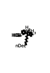 CCCCCCCCCCCCCCCCC[CH2][Ti]([CH3])([SiH2]c1ccccc1)[C]1=CC=CC1.Cl.Cl.Cl